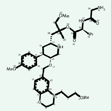 COCCCN1CCOc2ccc(CO[C@H]3CN[C@@H](CC(C)(COC)OC(=O)[C@@H](NC(=O)CN)C(C)C)C[C@@H]3c3ccc(OC)cc3)cc21